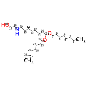 CCCCCCCCOC(CCCCCCCNCCO)OCCCCCCCC